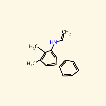 C=CNc1cccc(C)c1C.c1ccccc1